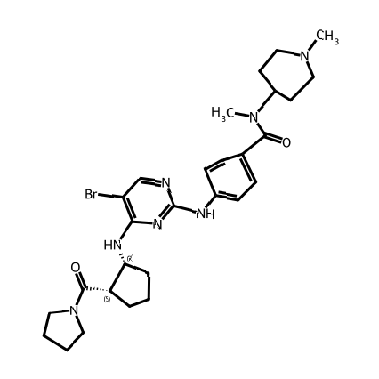 CN1CCC(N(C)C(=O)c2ccc(Nc3ncc(Br)c(N[C@@H]4CCC[C@@H]4C(=O)N4CCCC4)n3)cc2)CC1